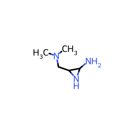 CN(C)CC1NC1N